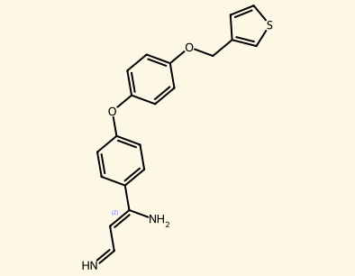 N=C/C=C(\N)c1ccc(Oc2ccc(OCc3ccsc3)cc2)cc1